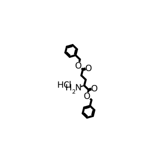 Cl.N[C@@H](CCC(=O)OCc1ccccc1)C(=O)OCc1ccccc1